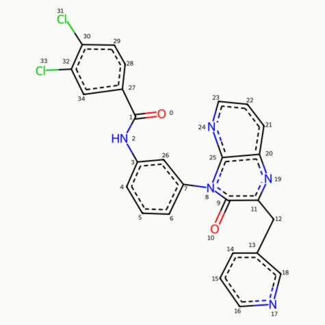 O=C(Nc1cccc(-n2c(=O)c(Cc3cccnc3)nc3cccnc32)c1)c1ccc(Cl)c(Cl)c1